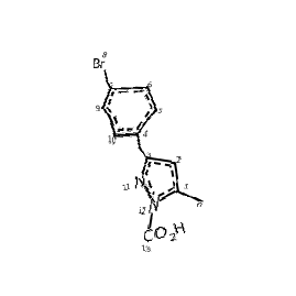 Cc1cc(-c2ccc(Br)cc2)nn1C(=O)O